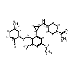 COC1=CC(C)C(OCC2=CC(C)CN=C2F)C(C2CC2NC2CCN(C(C)=O)CC2)=C1